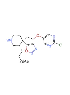 COCC[C@@H]1CNCC[C@@]1(CCOc1cnc(Cl)nc1)c1cnno1